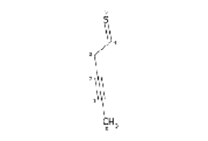 CC#CCC=S